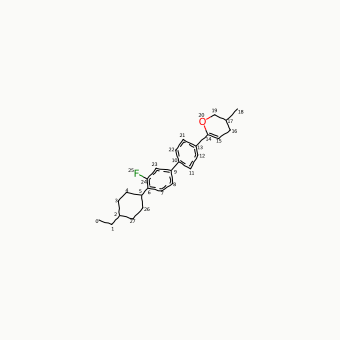 CCC1CCC(c2ccc(-c3ccc(C4=CCC(C)CO4)cc3)cc2F)CC1